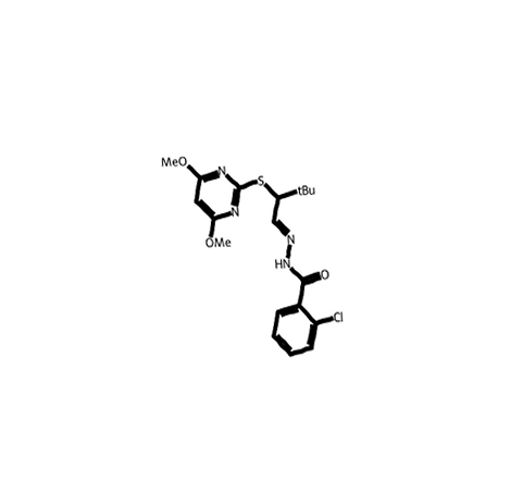 COc1cc(OC)nc(SC(/C=N/NC(=O)c2ccccc2Cl)C(C)(C)C)n1